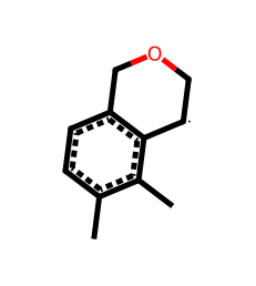 Cc1ccc2c(c1C)[CH]COC2